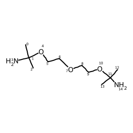 CC(C)(N)OCCOCCOC(C)(C)N